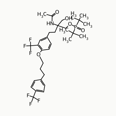 CC(=O)NC(CO)(CCc1ccc(OCCCc2ccc(C(F)(F)F)cc2)c(C(F)(F)F)c1)COP(=O)(C(C)(C)C)C(C)(C)C